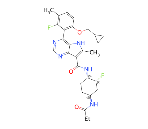 CCC(=O)N[C@H]1CC[C@H](NC(=O)c2c(C)[nH]c3c(-c4c(OCC5CC5)ccc(C)c4F)ncnc23)[C@H](F)C1